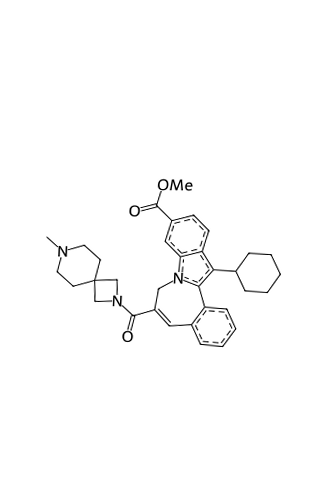 COC(=O)c1ccc2c(C3CCCCC3)c3n(c2c1)CC(C(=O)N1CC2(CCN(C)CC2)C1)=Cc1ccccc1-3